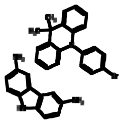 CC1(C)c2ccccc2N(c2ccc(Br)cc2)c2ccccc21.Nc1ccc2[nH]c3ccc(N)cc3c2c1